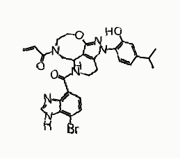 C=CC(=O)N1CCOc2nn(-c3ccc(C(C)C)cc3O)c3c2[C@H](C1)N(C(=O)c1ccc(Br)c2[nH]cnc12)CC3